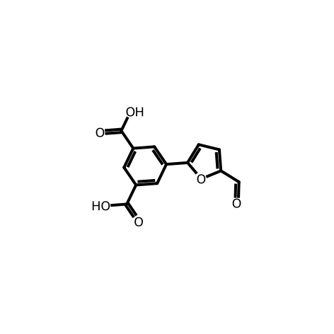 O=Cc1ccc(-c2cc(C(=O)O)cc(C(=O)O)c2)o1